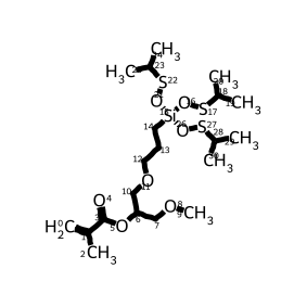 C=C(C)C(=O)OC(COC)COCCC[Si](OSC(C)C)(OSC(C)C)OSC(C)C